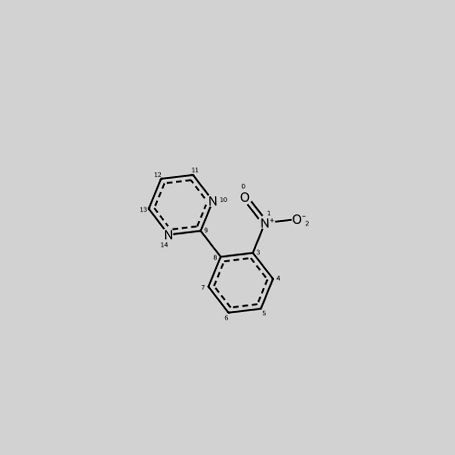 O=[N+]([O-])c1ccccc1-c1ncccn1